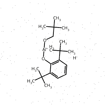 CC(C)(C)C[O][Al+][O]c1c(C(C)(C)C)cccc1C(C)(C)C.[H-]